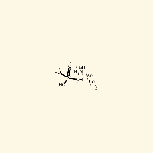 O=P(O)(O)O.[AlH3].[Co].[LiH].[Mn].[Ni]